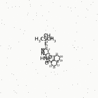 C[Si](C)(C)C#Cc1ccc(NS(=O)(=O)c2cccc3ccccc23)nn1